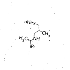 C=C(NCC(C)CCCCCCC)C(C)C